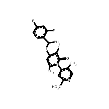 BC(Oc1cc(C)n(-c2cc(C(=O)O)ncc2C)c(=O)c1Cl)c1ncc(F)cc1F